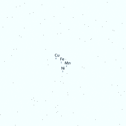 [Cu].[Fe].[Mn].[Ni]